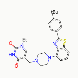 CCn1cc(CN2CCN(c3cccc4sc(-c5ccc(C(C)(C)C)cc5)nc34)CC2)c(=O)[nH]c1=O